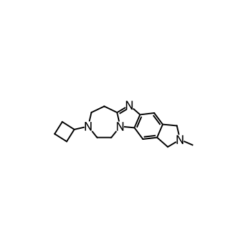 CN1Cc2cc3nc4n(c3cc2C1)CCN(C1CCC1)CC4